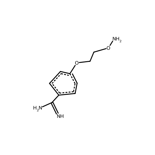 N=C(N)c1ccc(OCCON)cc1